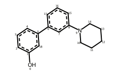 Oc1cccc(-c2[c]c(N3CCCCC3)ccc2)c1